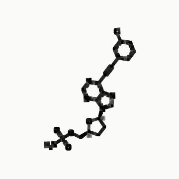 NS(=O)(=O)OC[C@@H]1CC[C@H](n2cnc3c(C#Cc4cccc(Cl)c4)ncnc32)O1